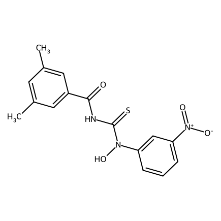 Cc1cc(C)cc(C(=O)NC(=S)N(O)c2cccc([N+](=O)[O-])c2)c1